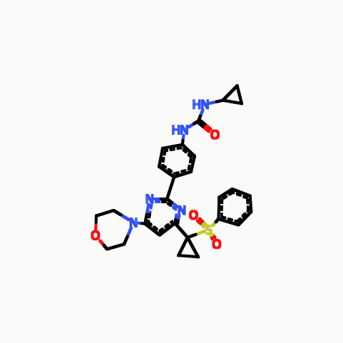 O=C(Nc1ccc(-c2nc(N3CCOCC3)cc(C3(S(=O)(=O)c4ccccc4)CC3)n2)cc1)NC1CC1